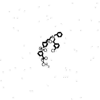 CCOC(=O)c1cccc(S(=O)(=O)c2ccc(CCCN(Cc3ccccc3)C[C@H](O)c3cccc(Cl)c3)cc2)c1